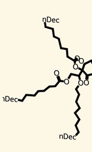 CCCCCCCCCCCCCCCCCCOC(COC(=O)CCCCCCCCCCCCCCCCC)C1(OC(=O)CCCCCCCCCCCCCCCCC)C(=O)CCCC1=O